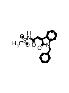 CS(=O)(=O)NC(=O)C=C1C(=O)N(Cc2ccccc2)c2ccccc21